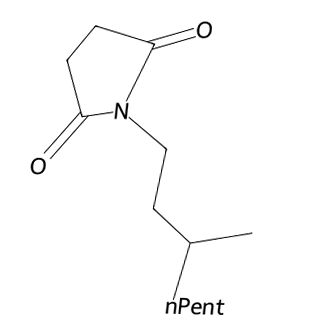 CCCCCC(C)CCN1C(=O)CCC1=O